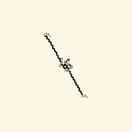 CCCCCCCCCCCCCCCCCCNC(=O)c1ccc(C(=O)NCCCCCCCCCCCCCCCCCC)c(N=C=O)c1N=C=O